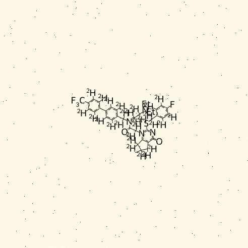 [2H]c1c([2H])c(C([2H])([2H])Sc2nc(=O)c3c(n2C([2H])([2H])C(=O)N(C([2H])([2H])c2c([2H])c([2H])c(-c4c([2H])c([2H])c(C(F)(F)F)c([2H])c4[2H])c([2H])c2[2H])C([2H])([2H])C([2H])([2H])N(CC)CC)C([2H])([2H])C([2H])(C)C3([2H])[2H])c([2H])c([2H])c1F